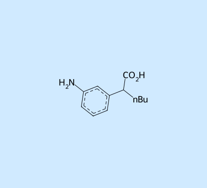 CCCCC(C(=O)O)c1cccc(N)c1